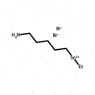 C[CH2][Sn+2][CH2]CCCCN.[Br-].[Br-]